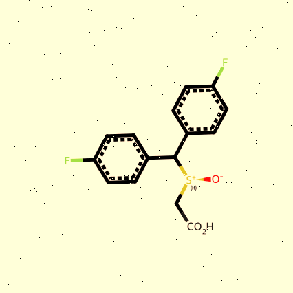 O=C(O)C[S@+]([O-])C(c1ccc(F)cc1)c1ccc(F)cc1